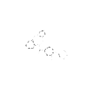 Cc1cc(C(=O)N2Cc3cccn3Cc3ccccc32)ccc1C1=CCCCC1